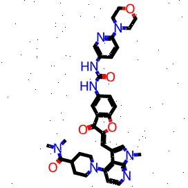 CN(C)C(=O)C1CCN(c2ccnc3c2c(C=C2Oc4ccc(NC(=O)Nc5ccc(N6CCOCC6)nc5)cc4C2=O)cn3C)CC1